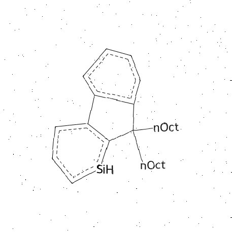 CCCCCCCCC1(CCCCCCCC)c2ccccc2-c2ccc[siH]c21